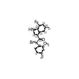 COc1cc(F)ccc1C(Br)C(=O)c1c[nH]c2c(F)cc(C)cc12